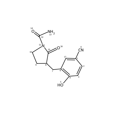 N#Cc1ccc(O)c(C[C]2CCN(C(N)=O)C2=O)c1